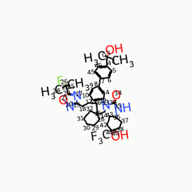 CC(C)(O)c1ccc(-c2cccc(N(CC3(CCCc4noc(C(C)(C)F)n4)CCCCC3)C(=O)NC3CCC(O)(C(F)(F)F)CC3)c2)cc1